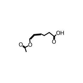 CC(=O)OC=C=CCCC(=O)O